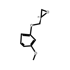 COc1cccc(OC[C@H]2CO2)c1